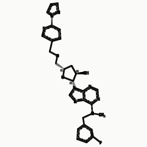 CN(Cc1cccc(F)c1)c1ncnc2c1ncn2[C@@H]1O[C@H](COCc2ccc(-n3cccn3)nc2)C[C@H]1O